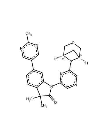 Cc1ncc(-c2ccc3c(c2)N(c2cncc(N4[C@@H]5COC[C@H]4C5)n2)C(=O)C3(C)C)cn1